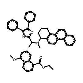 CC(c1nc(-c2ccccc2)c(-c2ccccc2)o1)N(C)C1CCCc2c1ccc1c2ccc2ccccc21.CCOC(=O)c1cccc2c(OC)cccc12